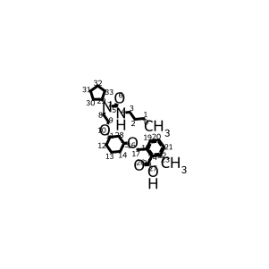 CCCCNC(=O)N(CCOC1CCCC(OCc2cccc(C)c2C(=O)O)C1)C1CCCC1